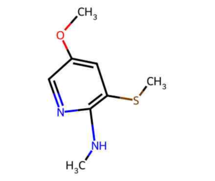 CNc1ncc(OC)cc1SC